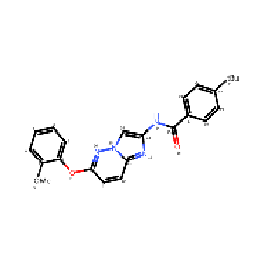 COc1ccccc1Oc1ccc2nc(NC(=O)c3ccc(C(C)(C)C)cc3)cn2n1